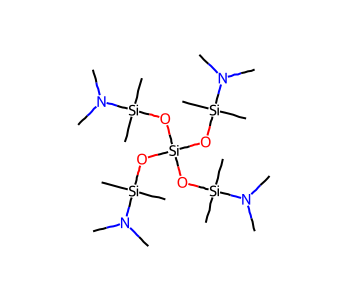 CN(C)[Si](C)(C)O[Si](O[Si](C)(C)N(C)C)(O[Si](C)(C)N(C)C)O[Si](C)(C)N(C)C